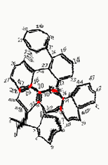 CC1(C)c2ccccc2-c2c(N(c3cccc(-c4ccccc4)c3-c3ccccc3-c3ccccc3)c3cccc4ccccc34)cccc21